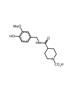 COc1cc(CNC(=O)C2CCN(C(=O)O)CC2)ccc1O